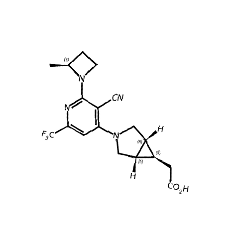 C[C@H]1CCN1c1nc(C(F)(F)F)cc(N2C[C@@H]3[C@@H](CC(=O)O)[C@@H]3C2)c1C#N